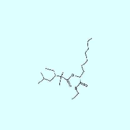 CCCCCCCCC(OC(=O)C(C)(C)C(CC)CC(C)C)C(=O)OCC